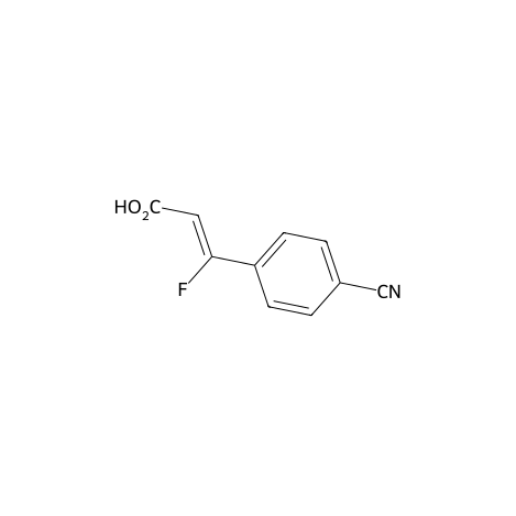 N#Cc1ccc(C(F)=CC(=O)O)cc1